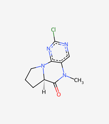 CN1C(=O)[C@H]2CCCN2c2nc(Cl)ncc21